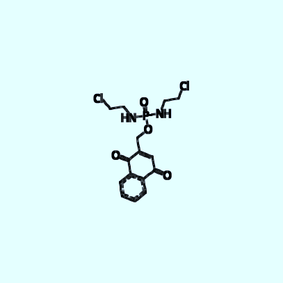 O=C1C=C(COP(=O)(NCCCl)NCCCl)C(=O)c2ccccc21